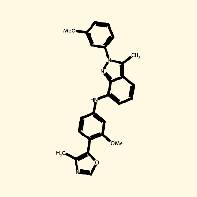 COc1cccc(-n2nc3c(Nc4ccc(-c5ocnc5C)c(OC)c4)cccc3c2C)c1